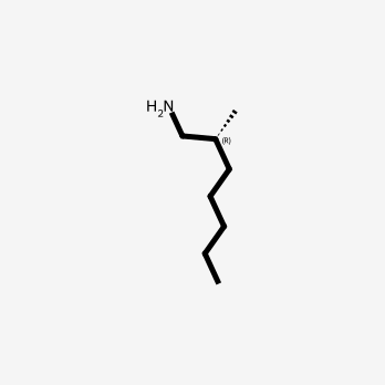 CCCCC[C@@H](C)CN